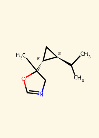 CC(C)[C@@H]1C[C@H]1C1(C)CN=CO1